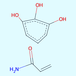 C=CC(N)=O.Oc1cccc(O)c1O